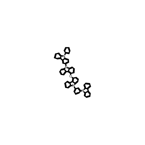 c1ccc(-n2c3ccccc3c3cc(-n4c5ccccc5c5c(Oc6cccc7c6c6ccccc6n7-c6cccc(-n7c8ccccc8c8ccccc87)c6)cccc54)ccc32)cc1